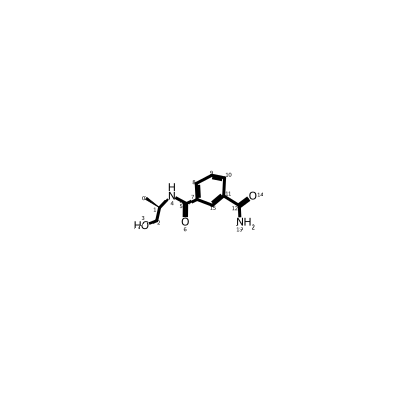 C[C@H](CO)NC(=O)c1cccc(C(N)=O)c1